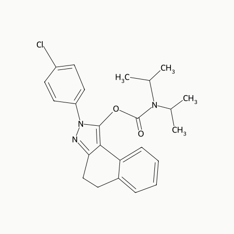 CC(C)N(C(=O)Oc1c2c(nn1-c1ccc(Cl)cc1)CCc1ccccc1-2)C(C)C